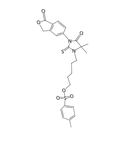 Cc1ccc(S(=O)(=O)OCCCCCN2C(=S)N(c3ccc4c(c3)COC4=O)C(=O)C2(C)C)cc1